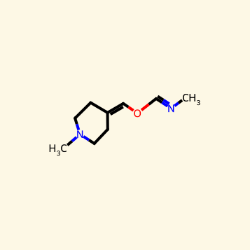 C/N=C/OC=C1CCN(C)CC1